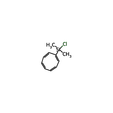 C[Si](C)(Cl)C1=C/C=C\C=C/C=C\1